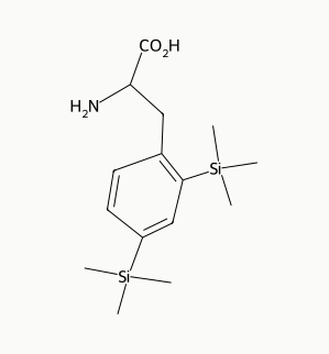 C[Si](C)(C)c1ccc(CC(N)C(=O)O)c([Si](C)(C)C)c1